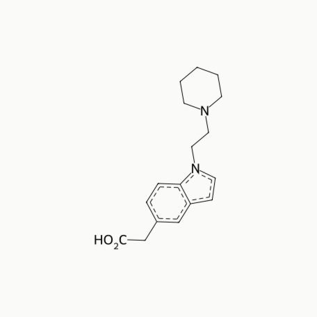 O=C(O)Cc1ccc2c(ccn2CCN2CCCCC2)c1